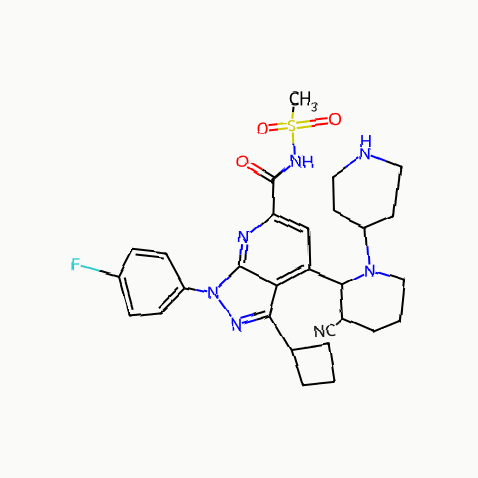 CS(=O)(=O)NC(=O)c1cc(C2C(C#N)CCCN2C2CCNCC2)c2c(C3CCC3)nn(-c3ccc(F)cc3)c2n1